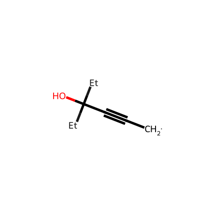 [CH2]C#CC(O)(CC)CC